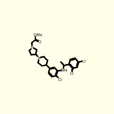 COC(=O)CN1CCC(N2CCC(c3ccc(Cl)c(NC(C)c4ccc(Cl)cc4Cl)c3)CC2)C1